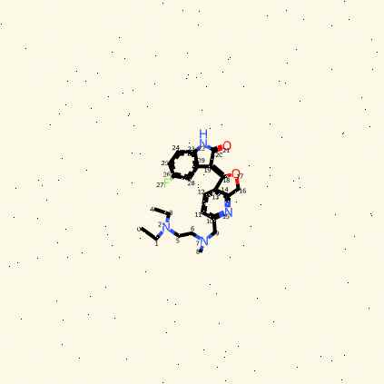 CCN(CC)CCN(C)Cc1ccc2c(n1)CO/C2=C1\C(=O)Nc2ccc(F)cc21